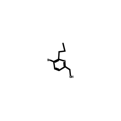 CCCc1nc(CO)ccc1Br